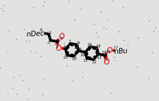 CCCCCCCCCCCCC(=O)Oc1ccc(-c2ccc(C(=O)OCCCC)cc2)cc1